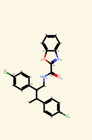 CC(c1ccc(Cl)cc1)C(CNC(=O)c1nc2ccccc2o1)c1ccc(Cl)cc1